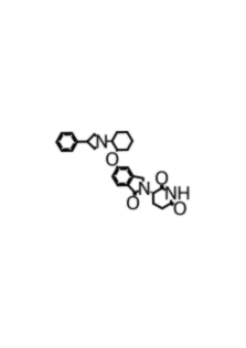 O=C1CC[C@H](N2Cc3cc(O[C@H]4CCCC[C@@H]4N4CC(c5ccccc5)C4)ccc3C2=O)C(=O)N1